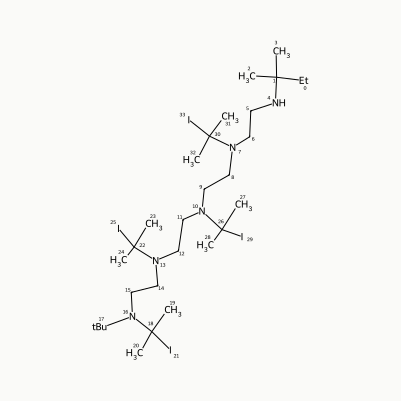 CCC(C)(C)NCCN(CCN(CCN(CCN(C(C)(C)C)C(C)(C)I)C(C)(C)I)C(C)(C)I)C(C)(C)I